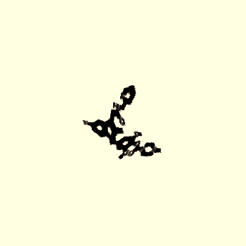 COc1cc(C=C2C(C)=C(CC(=O)NCc3ccccn3)c3cc(F)ccc32)cc(OC)c1OC(=O)N1CCN(C)CC1